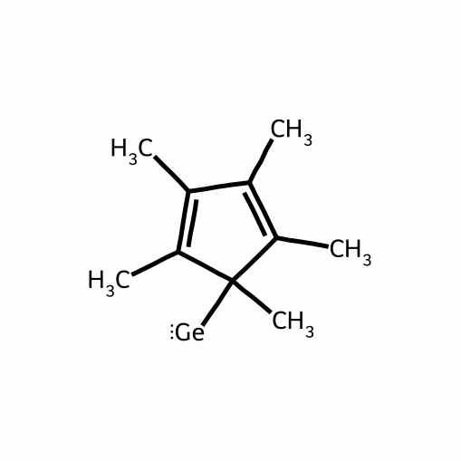 CC1=C(C)[C](C)([Ge])C(C)=C1C